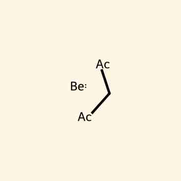 CC(=O)CC(C)=O.[Be]